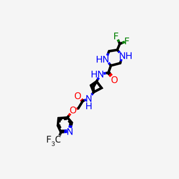 O=C(COc1ccc(C(F)(F)F)nc1)NC12CC(NC(=O)C3CNC(C(F)F)CN3)(C1)C2